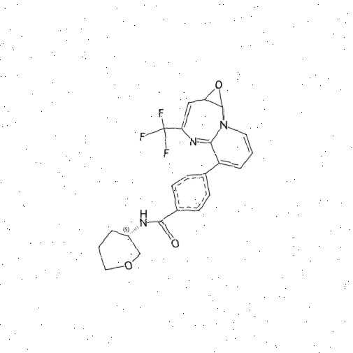 O=C(N[C@H]1CCCOC1)c1ccc(C2=CC=CN3C2=NC(C(F)(F)F)=CC2OC23)cc1